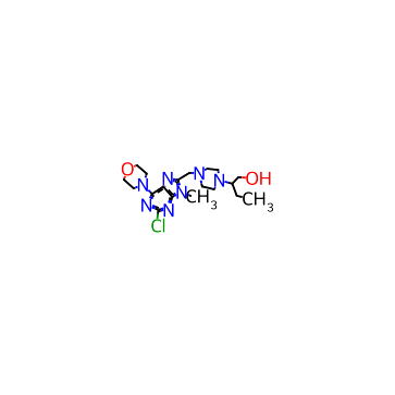 CCC(CO)N1CCN(Cc2nc3c(N4CCOCC4)nc(Cl)nc3n2C)CC1